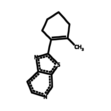 CC1=C(c2nc3ccncc3s2)CCCC1